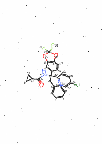 O=C(NC(Cc1ccccc1)(c1ccc2c(c1)OC(F)(F)O2)c1ccc(Cl)cn1)C1CC1